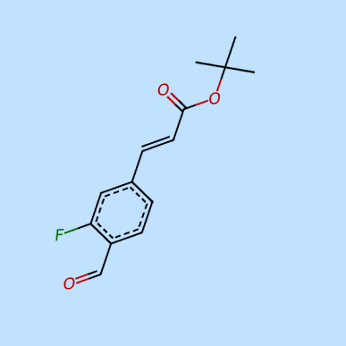 CC(C)(C)OC(=O)C=Cc1ccc(C=O)c(F)c1